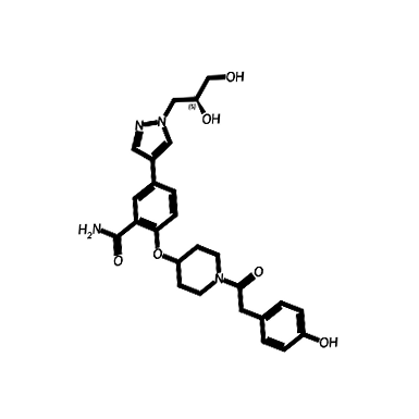 NC(=O)c1cc(-c2cnn(C[C@H](O)CO)c2)ccc1OC1CCN(C(=O)Cc2ccc(O)cc2)CC1